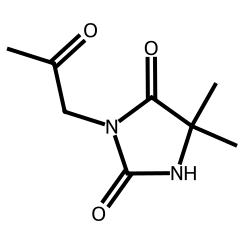 CC(=O)CN1C(=O)NC(C)(C)C1=O